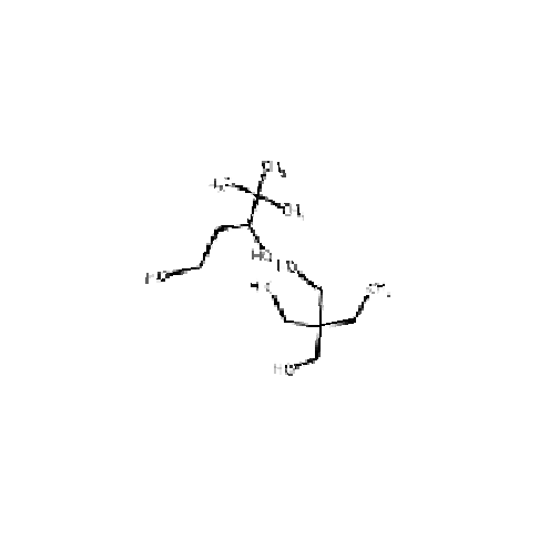 CC(C)(C)C(O)CCO.CCC(CC)(CO)CO